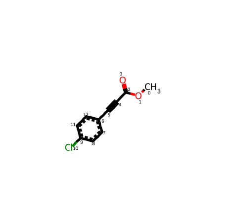 COC(=O)C#Cc1ccc(Cl)cc1